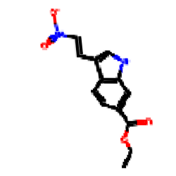 CCOC(=O)c1ccc2c(C=C[N+](=O)[O-])c[nH]c2c1